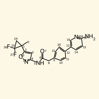 CC1(c2cc(NC(=O)Cc3ccc(-c4ccc(N)nc4)cc3)no2)CC1(F)F